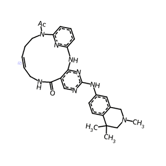 CC(=O)N1CC/C=C\CNC(=O)c2cnc(Nc3ccc4c(c3)CN(C)CC4(C)C)nc2Nc2cccc1n2